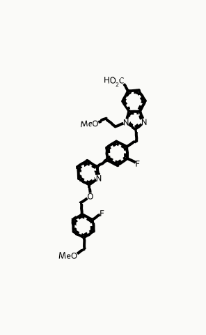 COCCn1c(Cc2ccc(-c3cccc(OCc4ccc(COC)cc4F)n3)cc2F)nc2ccc(C(=O)O)cc21